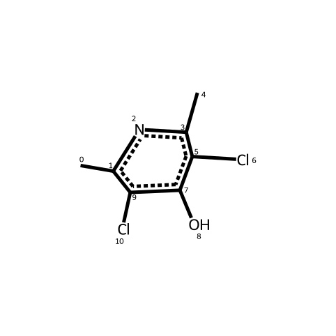 Cc1nc(C)c(Cl)c(O)c1Cl